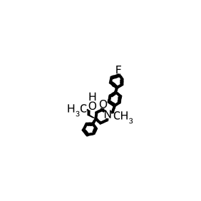 C[C@@H](O)C[C@]1(c2ccccc2)CCN([C@@H](C)c2ccc(-c3ccc(F)cc3)cc2)C(=O)C1